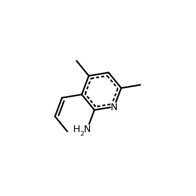 C/C=C\c1c(C)cc(C)nc1N